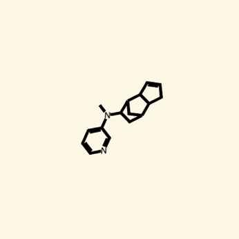 CN(c1cccnc1)C1CC2CC1C1C=CCC21